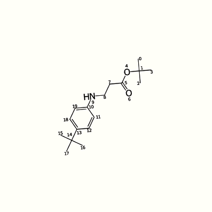 CC(C)(C)OC(=O)CCNc1ccc(C(C)(C)C)cc1